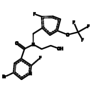 O=C(c1cc(Br)cnc1F)N(CCO)Cc1cc(OC(F)(F)F)ccc1F